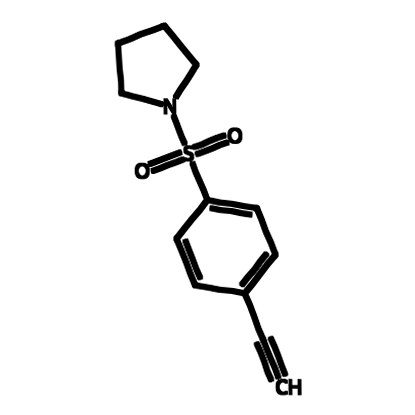 C#Cc1ccc(S(=O)(=O)N2CCCC2)cc1